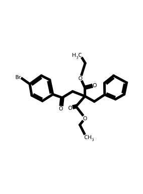 CCOC(=O)C(CC(=O)c1ccc(Br)cc1)(Cc1ccccc1)C(=O)OCC